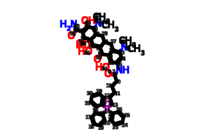 CN(C)c1cc(NC(=O)CCCCC[PH](c2ccccc2)(c2ccccc2)c2ccccc2)c(O)c2c1CC1CC3[C@H](N(C)C)C(O)=C(C(N)=O)C(=O)[C@@]3(O)C(O)=C1C2=O